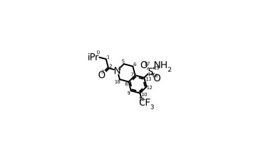 CC(C)CC(=O)N1CCc2c(cc(C(F)(F)F)cc2S(N)(=O)=O)C1